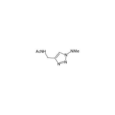 CNn1cc(CNC(C)=O)nn1